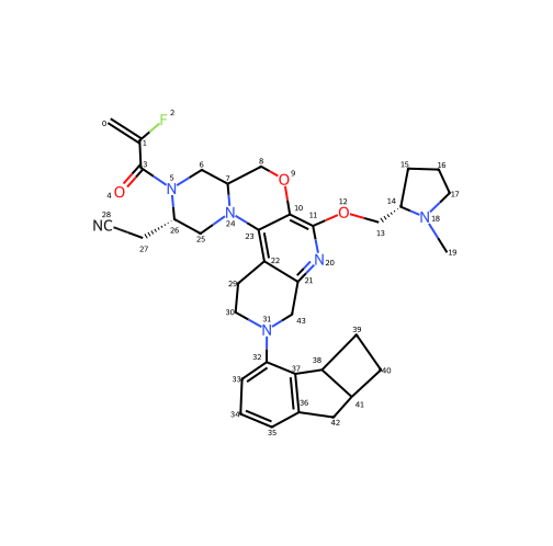 C=C(F)C(=O)N1CC2COc3c(OC[C@@H]4CCCN4C)nc4c(c3N2C[C@@H]1CC#N)CCN(c1cccc2c1C1CCC1C2)C4